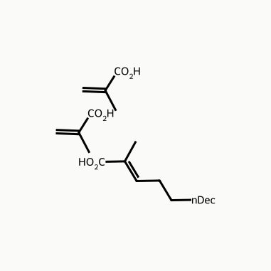 C=C(C)C(=O)O.C=C(C)C(=O)O.CCCCCCCCCCCCC=C(C)C(=O)O